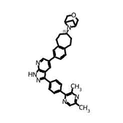 Cc1cnc(-c2ccc(-c3n[nH]c4ncc(-c5ccc6c(c5)CC[C@@H](N5C7COCC5C7)CC6)cc34)cc2)c(C)n1